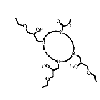 CCOCC(O)CN1CCCN(CC(O)COCC)CCN(CC(O)COCC)CCCN(C(=O)OC)CCC1